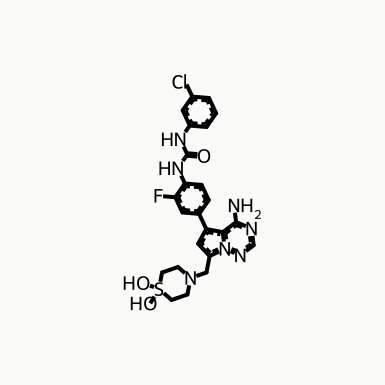 Nc1ncnn2c(CN3CCS(O)(O)CC3)cc(-c3ccc(NC(=O)Nc4cccc(Cl)c4)c(F)c3)c12